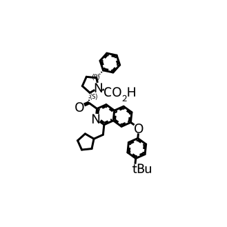 CC(C)(C)c1ccc(Oc2ccc3cc(C(=O)[C@@H]4CC[C@H](c5ccccc5)N4C(=O)O)nc(CC4CCCC4)c3c2)cc1